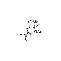 COC(CC(=O)N(C)C)C(C)OC(C)=O